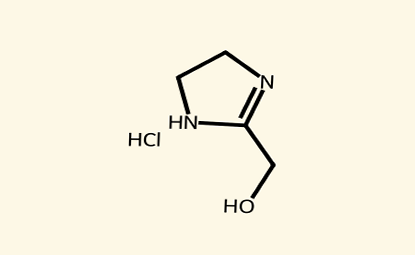 Cl.OCC1=NCCN1